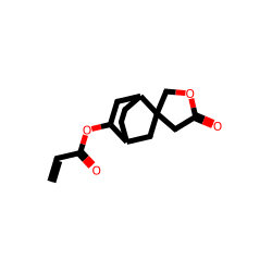 C=CC(=O)OC1CC2CCC1CC21COC(=O)C1